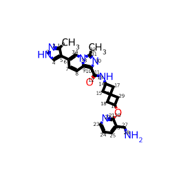 Cc1n[nH]cc1-c1ccc2c(C(=O)NC3CC4(C3)CC(Oc3ncccc3CN)C4)nc(C)n2c1